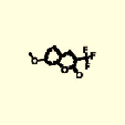 COc1ccc2cc(C(F)(F)F)c(=O)oc2c1